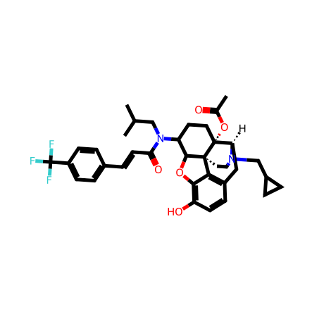 CC(=O)O[C@@]12CCC(N(CC(C)C)C(=O)/C=C/c3ccc(C(F)(F)F)cc3)C3Oc4c(O)ccc5c4[C@@]31CCN(CC1CC1)[C@@H]2C5